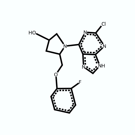 OC1CC(COc2ccccc2F)N(c2nc(Cl)nc3[nH]cnc23)C1